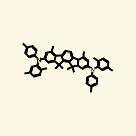 CC1=CC(N(c2ccc(C)cc2)c2cc(C)ccc2C)=CC2C1c1ccc3c(c1C2(C)C)C(C)(C)c1cc(N(c2ccc(C)cc2)c2cc(C)ccc2C)cc(C)c1-3